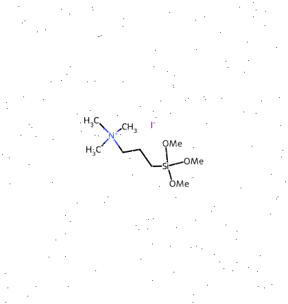 CO[Si](CCC[N+](C)(C)C)(OC)OC.[I-]